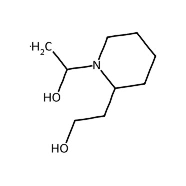 [CH2]C(O)N1CCCCC1CCO